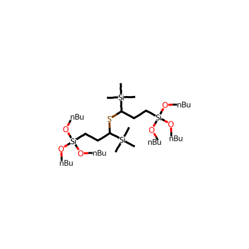 CCCCO[Si](CCC(SC(CC[Si](OCCCC)(OCCCC)OCCCC)[Si](C)(C)C)[Si](C)(C)C)(OCCCC)OCCCC